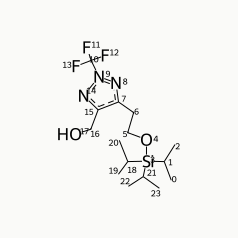 CC(C)[Si](OCCc1nn(C(F)(F)F)nc1CO)(C(C)C)C(C)C